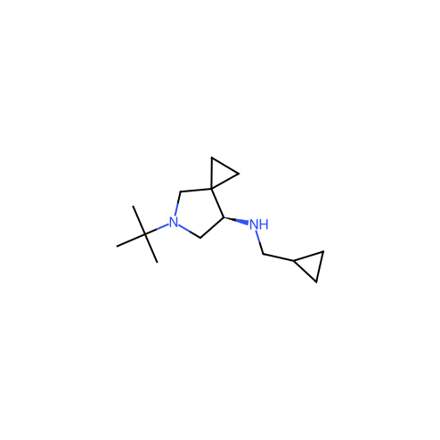 CC(C)(C)N1C[C@H](NCC2CC2)C2(CC2)C1